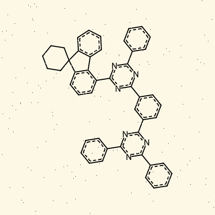 c1ccc(-c2nc(-c3ccccc3)nc(-c3cccc(-c4nc(-c5ccccc5)nc(-c5cccc6c5-c5ccccc5C65CCCCC5)n4)c3)n2)cc1